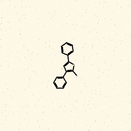 Ic1sc(-c2ccccc2)cc1-c1ccccc1